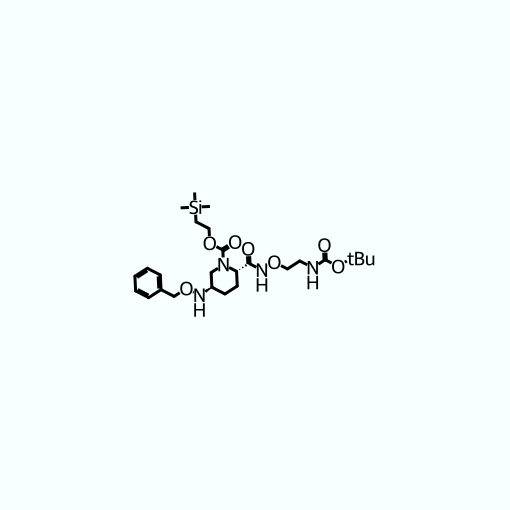 CC(C)(C)OC(=O)NCCONC(=O)[C@@H]1CC[C@@H](NOCc2ccccc2)CN1C(=O)OCC[Si](C)(C)C